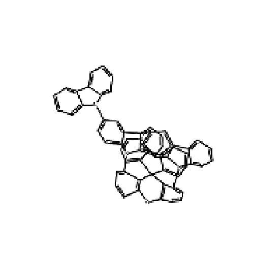 c1cc2c(c(-n3c4ccccc4c4ccccc43)c1)C1(c3cccnc3-c3ncccc31)c1c(cccc1-n1c3ccccc3c3cc(-n4c5ccccc5c5ccccc54)ccc31)O2